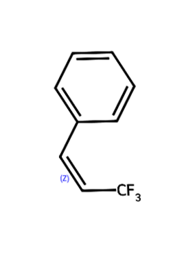 FC(F)(F)/C=C\c1ccccc1